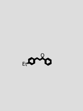 CCc1ccc(CCC(=O)c2ccccc2)cc1